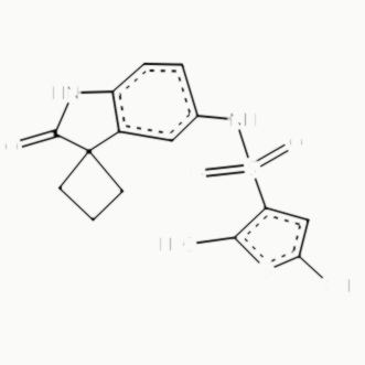 Cc1cc(S(=O)(=O)Nc2ccc3c(c2)C2(CCC2)C(=O)N3)c(C)s1